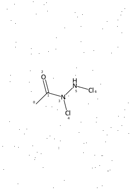 CC(=O)N(Cl)NCl